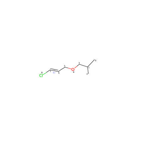 CC(C)COC/C=C/Cl